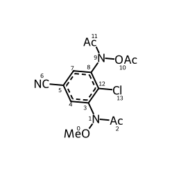 CON(C(C)=O)c1cc(C#N)cc(N(OC(C)=O)C(C)=O)c1Cl